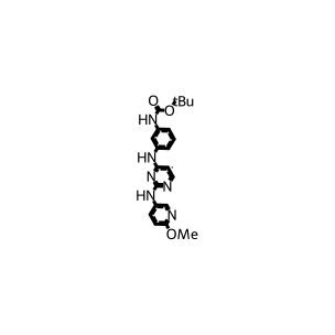 COc1ccc(Nc2nc[c]c(Nc3cccc(NC(=O)OC(C)(C)C)c3)n2)cn1